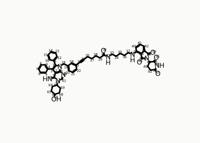 N=c1c2c(-c3ccccc3)c(-c3ccccc3)n(Cc3cccc(C#CCCCCC(=O)NCCCCCNc4cccc5c4C(=O)N(C4CCC(=O)NC4=O)C5=O)c3)c2ncn1C1CCC(O)CC1